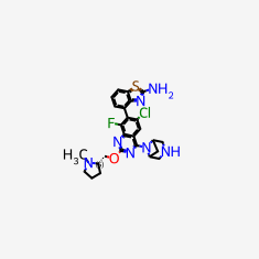 CN1CCC[C@H]1COc1nc(N2C3CNCC2C3)c2cc(Cl)c(-c3cccc4sc(N)nc34)c(F)c2n1